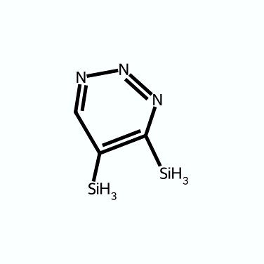 [SiH3]c1cnnnc1[SiH3]